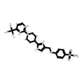 CS(=O)(=O)c1ccc(OCc2csc(C3CCN(c4nccc(C(F)(F)F)n4)CC3)n2)cc1